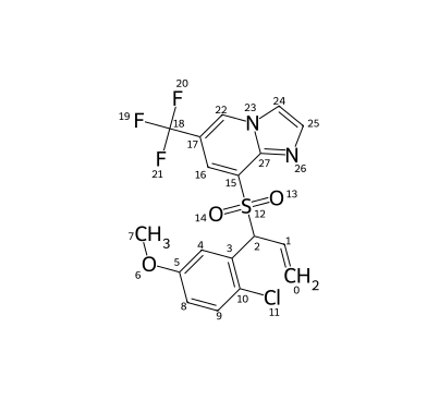 C=CC(c1cc(OC)ccc1Cl)S(=O)(=O)c1cc(C(F)(F)F)cn2ccnc12